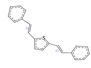 C(=C\c1ccc(/C=C/c2ccccc2)s1)/c1ccccc1